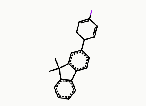 CC1(C)c2ccccc2-c2ccc(C3C=CC(I)=CC3)cc21